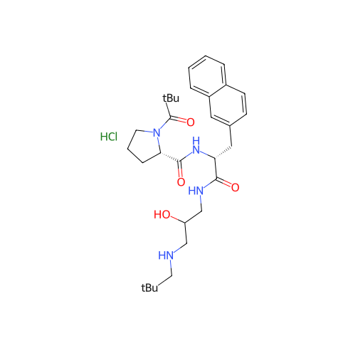 CC(C)(C)CNCC(O)CNC(=O)[C@@H](Cc1ccc2ccccc2c1)NC(=O)[C@@H]1CCCN1C(=O)C(C)(C)C.Cl